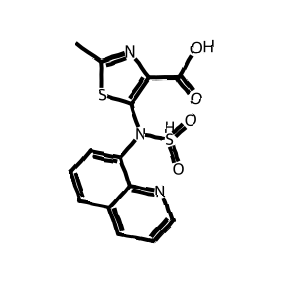 Cc1nc(C(=O)O)c(N(c2cccc3cccnc23)[SH](=O)=O)s1